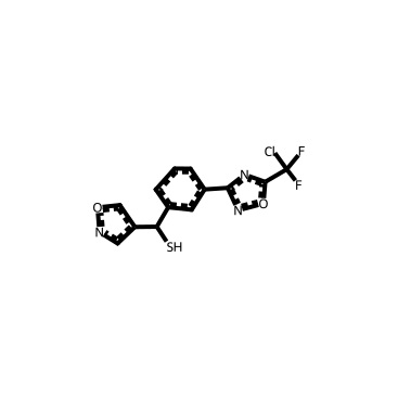 FC(F)(Cl)c1nc(-c2cccc(C(S)c3cnoc3)c2)no1